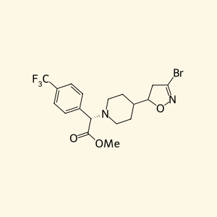 COC(=O)[C@H](c1ccc(C(F)(F)F)cc1)N1CCC(C2CC(Br)=NO2)CC1